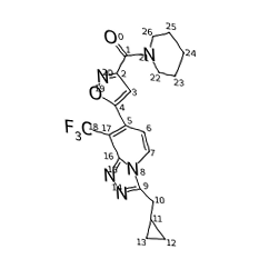 O=C(c1cc(-c2ccn3c(CC4CC4)nnc3c2C(F)(F)F)on1)N1CCCCC1